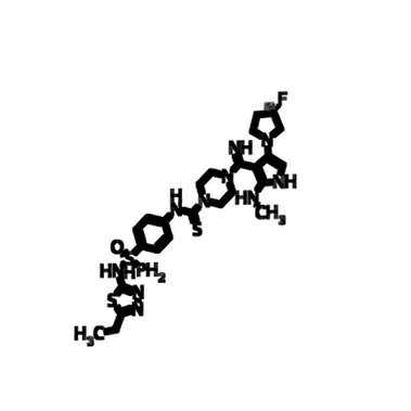 CCc1nnc(N[SH](=O)(P)c2ccc(NC(=S)N3CCN(C(=N)c4c(N5CC[C@H](F)C5)c[nH]c4NC)CC3)cc2)s1